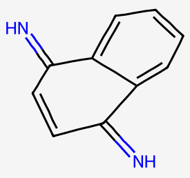 N=C1C=CC(=N)c2ccccc21